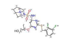 C[C@@H](Oc1cc(NS(=O)(=O)N2CCC3CCC(C2)N3C)nc(SCc2cccc(F)c2F)n1)C(=O)O